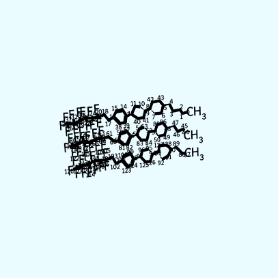 CCCCC[C@H]1CC[C@H]([C@H]2CC[C@H](c3ccc(CCC(F)(F)C(F)(F)C(F)(F)C(F)(F)C(F)(F)C(F)(F)F)cc3)CC2)CC1.CCCC[C@H]1CC[C@H]([C@H]2CC[C@H](c3ccc(CCC(F)(F)C(F)(F)C(F)(F)C(F)(F)C(F)(F)C(F)(F)F)cc3)CC2)CC1.CCC[C@H]1CC[C@H]([C@H]2CC[C@H](c3ccc(CCC(F)(F)C(F)(F)C(F)(F)C(F)(F)C(F)(F)C(F)(F)F)cc3)CC2)CC1